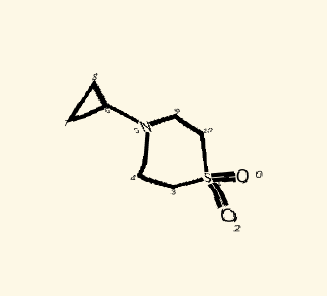 O=S1(=O)CCN(C2CC2)CC1